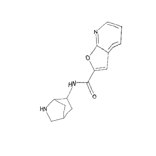 O=C(NC1CC2CNC1C2)c1cc2cccnc2o1